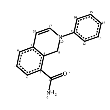 NC(=O)c1cccc2c1CN(c1ccccc1)C=C2